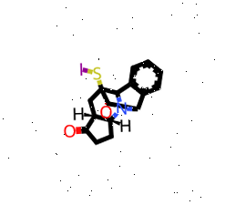 O=C1CC[C@@H]2[C@H]1CC1(SI)C(=O)C3c4ccccc4C1N32